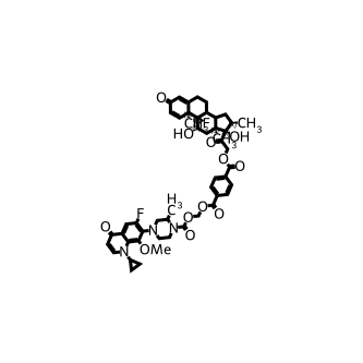 COc1c(N2CCN(C(=O)OCOC(=O)c3ccc(C(=O)OCC(=O)[C@@]4(O)[C@H](C)CC5C6CCC7=CC(=O)C=C[C@]7(C)[C@@]6(F)[C@@H](O)C[C@@]54C)cc3)C(C)C2)c(F)cc2c(=O)ccn(C3CC3)c12